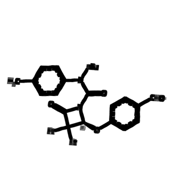 CCCCN(C(=O)N1C(=O)C(CC)(CC)[C@@H]1Oc1ccc([C]=O)cc1)c1ccc(C)cc1